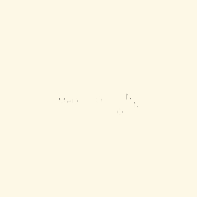 COc1cccc2cc(-c3nnc(C)o3)oc12